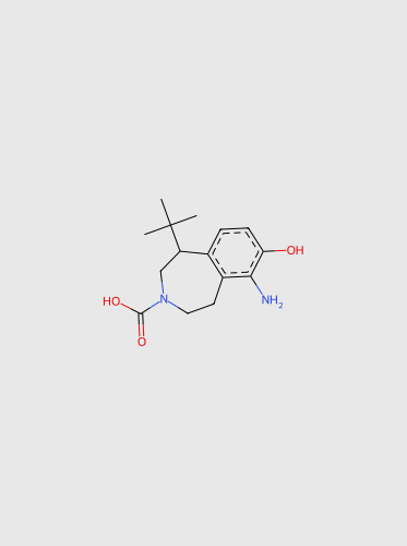 CC(C)(C)C1CN(C(=O)O)CCc2c1ccc(O)c2N